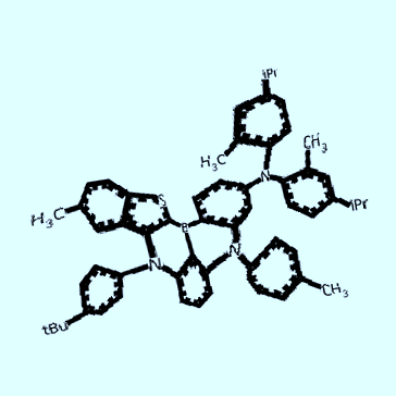 Cc1ccc(N2c3cc(N(c4ccc(C(C)C)cc4C)c4ccc(C(C)C)cc4C)ccc3B3c4sc5ccc(C)cc5c4N(c4ccc(C(C)(C)C)cc4)c4cccc2c43)cc1